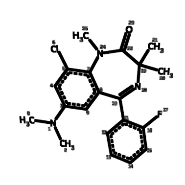 CN(C)c1cc(Cl)c2c(c1)C(c1ccccc1F)=NC(C)(C)C(=O)N2C